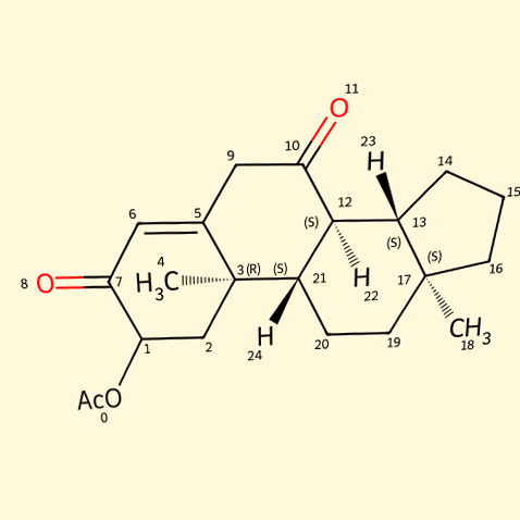 CC(=O)OC1C[C@@]2(C)C(=CC1=O)CC(=O)[C@H]1[C@@H]3CCC[C@@]3(C)CC[C@@H]12